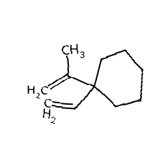 C=CC1(C(=C)C)CCCCC1